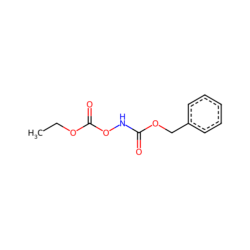 CCOC(=O)ONC(=O)OCc1ccccc1